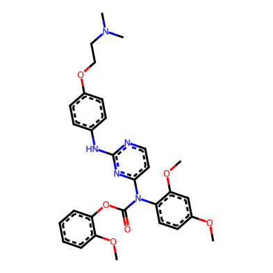 COc1ccc(N(C(=O)Oc2ccccc2OC)c2ccnc(Nc3ccc(OCCN(C)C)cc3)n2)c(OC)c1